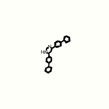 C1=NC(c2ccc(-c3ccccc3)cc2)=CC(c2ccc(-c3ccccc3)cc2)N1